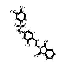 O=C1c2ccccc2C(=O)N1CCc1ccc(NS(=O)(=O)c2ccc(Cl)c(Cl)c2)cc1Cl